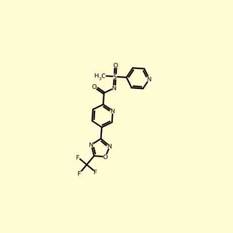 CS(=O)(=NC(=O)c1ccc(-c2noc(C(F)(F)F)n2)cn1)c1ccncc1